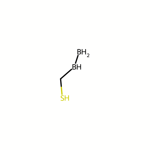 BBCS